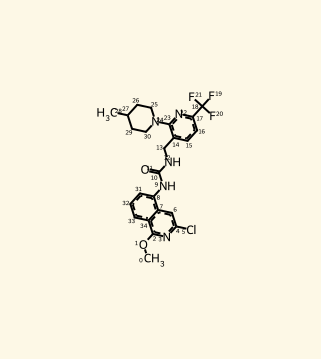 COc1nc(Cl)cc2c(NC(=O)NCc3ccc(C(F)(F)F)nc3N3CCC(C)CC3)cccc12